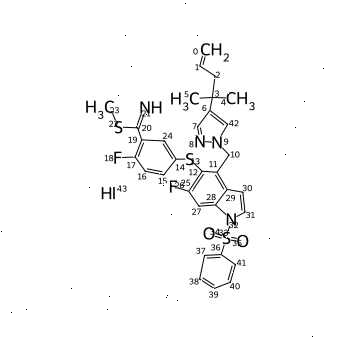 C=CCC(C)(C)c1cnn(Cc2c(Sc3ccc(F)c(C(=N)SC)c3)c(F)cc3c2ccn3S(=O)(=O)c2ccccc2)c1.I